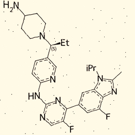 CC[C@@H](c1ccc(Nc2ncc(F)c(-c3cc(F)c4nc(C)n(C(C)C)c4c3)n2)nc1)N1CCC(N)CC1